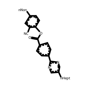 CCCCCCCCCc1ccc(OC(=O)c2ccc(-c3ncc(CCCCCCC)cn3)cc2)c(C#N)c1